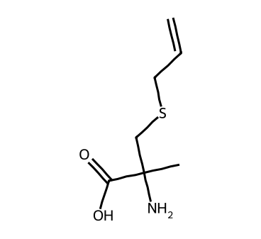 C=CCSCC(C)(N)C(=O)O